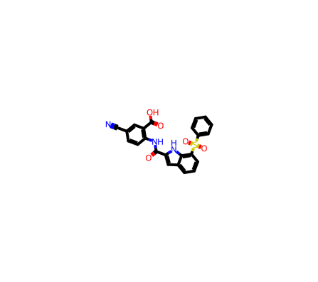 N#Cc1ccc(NC(=O)c2cc3cccc(S(=O)(=O)c4ccccc4)c3[nH]2)c(C(=O)O)c1